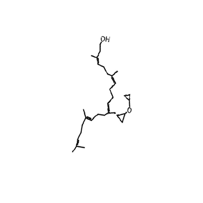 C1CC1OC1CC1.CC(C)=CCCC(C)=CCCC(C)=CCCC=C(C)CCC=C(C)CCO